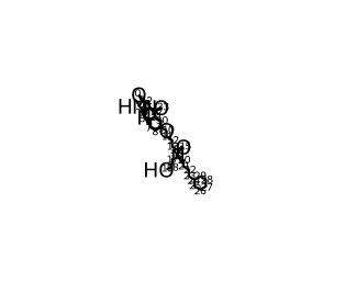 O=C1Cn2c(nc3ccc(OCCCC(=O)N(CCO)CCCCC4CCCCC4)cc3c2=O)N1